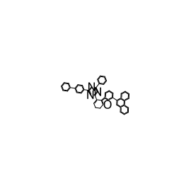 C1=C(c2nc(-c3ccccc3)nc(-c3ccc(-c4ccccc4)cc3)n2)c2c(oc3c(-c4cc5ccccc5c5ccccc45)cccc23)CC1